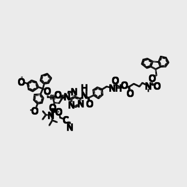 COc1ccc(C(OC[C@H]2O[C@@H](n3cnc4c(NC(=O)c5ccc(CNC(=O)COC(=O)CCCN(C)C(=O)OCC6c7ccccc7-c7ccccc76)cc5)ncnc43)CC2OP(OCCC#N)N(C(C)C)C(C)C)(c2ccccc2)c2ccc(OC)cc2)cc1